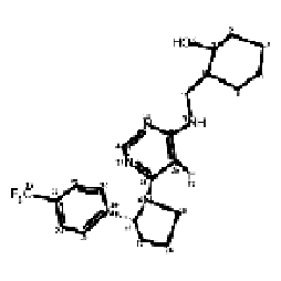 OC1CCCCC1CNc1ncnc(N2CCC[C@@H]2c2ccc(C(F)(F)F)cc2)c1F